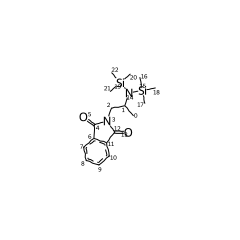 CC(CN1C(=O)c2ccccc2C1=O)N([Si](C)(C)C)[Si](C)(C)C